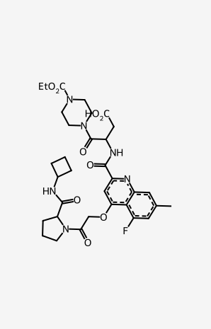 CCOC(=O)N1CCN(C(=O)C(CC(=O)O)NC(=O)c2cc(OCC(=O)N3CCCC3C(=O)NC3CCC3)c3c(F)cc(C)cc3n2)CC1